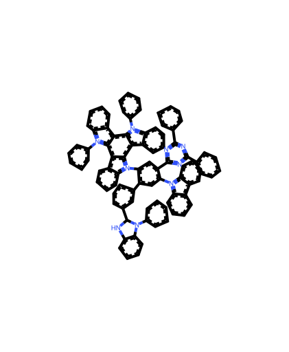 c1ccc(-c2nc(-c3ccccc3)nc(-c3cc(-n4c5ccccc5c5c6c(c7ccccc7n6-c6ccccc6)c6c(c7ccccc7n6-c6ccccc6)c54)c(-c4cccc(C5Nc6ccccc6N5c5ccccc5)c4)cc3-n3c4ccccc4c4ccccc43)n2)cc1